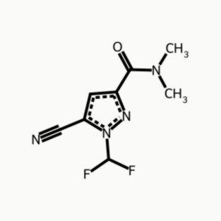 CN(C)C(=O)c1cc(C#N)n(C(F)F)n1